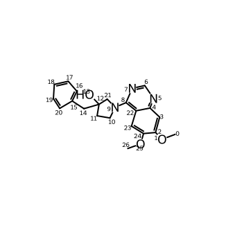 COc1cc2ncnc(N3CCC(O)(Cc4ccccc4)C3)c2cc1OC